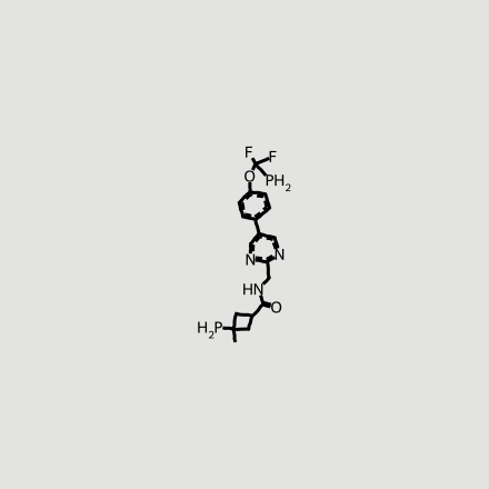 CC1(P)CC(C(=O)NCc2ncc(-c3ccc(OC(F)(F)P)cc3)cn2)C1